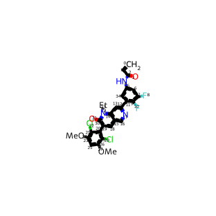 C=CC(=O)Nc1cc(F)c(F)c(-c2cc3c(cn2)cc(-c2c(Cl)c(OC)cc(OC)c2Cl)c(=O)n3CC)c1